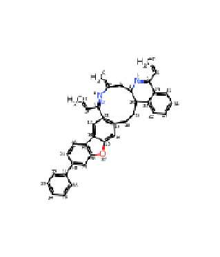 C=CC1=NC2CC(=C)/N=C(/C=C)c3cc4c(cc3CCC2c2ccccc21)oc1cc(-c2ccccc2)ccc14